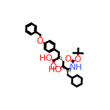 CC(C)(C)OC(=O)N[C@@H](CC1CCCCC1)[C@@H](O)C[C@@H](Cc1ccc(OCc2ccccc2)cc1)C(=O)O